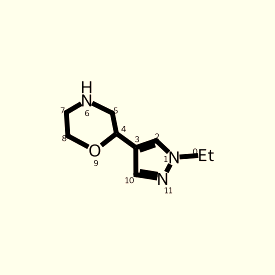 CCn1cc(C2CNCCO2)cn1